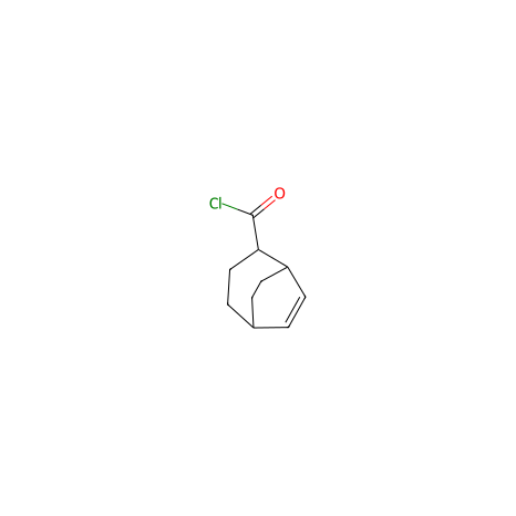 O=C(Cl)C1CCC2C=CC1CC2